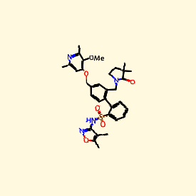 COc1c(OCc2ccc(-c3ccccc3S(=O)(=O)Nc3noc(C)c3C)c(CN3CCC(C)(C)C3=O)c2)cc(C)nc1C